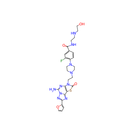 Nc1nc2c(sc(=O)n2CCN2CCN(c3ccc(C(=O)NCCNCCO)cc3F)CC2)c2nc(-c3ccco3)nn12